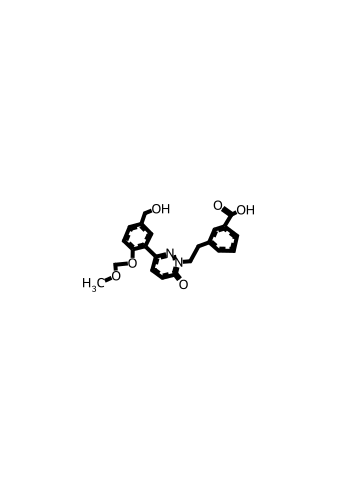 COCOc1ccc(CO)cc1-c1ccc(=O)n(CCc2cccc(C(=O)O)c2)n1